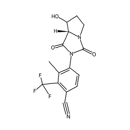 Cc1c(N2C(=O)[C@@H]3C(O)CCN3C2=O)ccc(C#N)c1C(F)(F)F